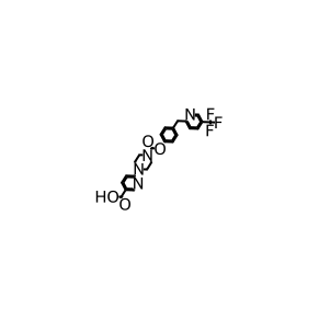 O=C(O)c1ccc(N2CCN(C(=O)Oc3ccc(Cc4ccc(C(F)(F)F)cn4)cc3)CC2)nc1